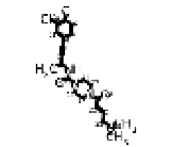 CC(C#Cc1ccc(Cl)c(Cl)c1)NC(=O)N1CCN(C(=O)/C=C/CN(C)C)CC1